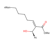 CCCCCCCCCCCCC/C=C(/C(=O)OC)[C@H](O)C(C)=O